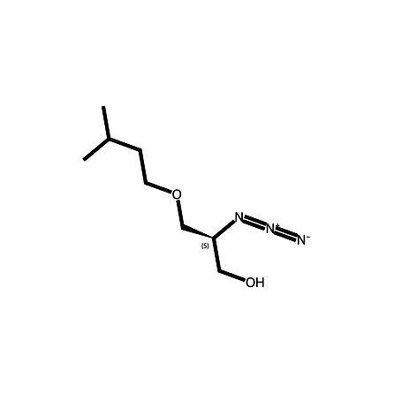 CC(C)CCOC[C@H](CO)N=[N+]=[N-]